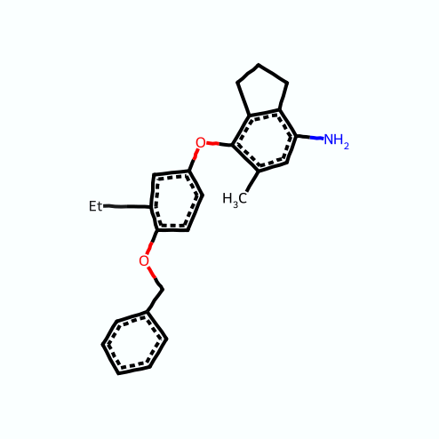 [CH2]Cc1cc(Oc2c(C)cc(N)c3c2CCC3)ccc1OCc1ccccc1